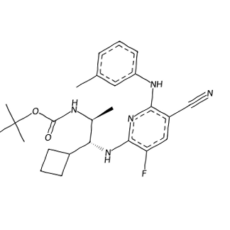 Cc1cccc(Nc2nc(N[C@H](C3CCC3)[C@H](C)NC(=O)OC(C)(C)C)c(F)cc2C#N)c1